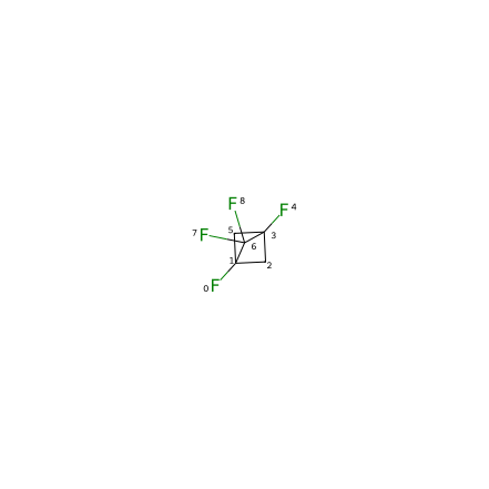 FC12CC(F)(C1)C2(F)F